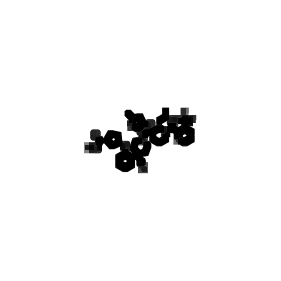 CCC[C@H]1N(C(=O)c2ncccc2C(F)(F)F)CCC[C@@]1(Oc1csc(C)c1)C(=O)N1CCC(C#N)(c2ccccc2O[C@H]2CC[C@H](C(=O)O)C2)CC1